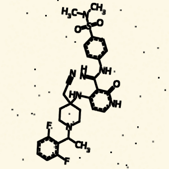 CC(c1c(F)cccc1F)N1CCC(CC#N)(Nc2cc[nH]c(=O)c2C(=N)Nc2ccc(S(=O)(=O)N(C)C)cc2)CC1